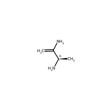 C=C(N)[C@@H](C)N